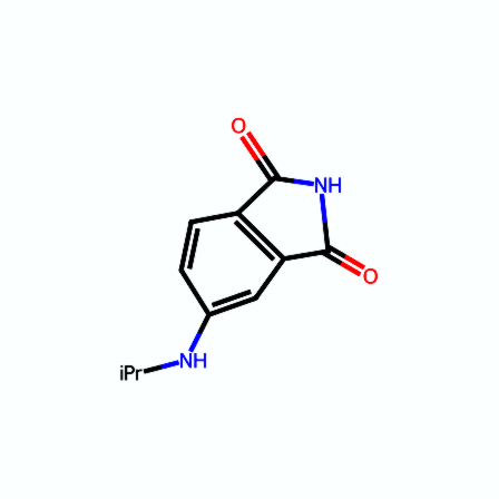 CC(C)Nc1ccc2c(c1)C(=O)NC2=O